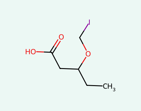 CCC(CC(=O)O)OCI